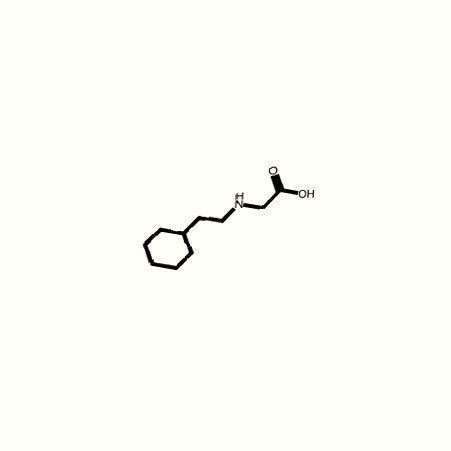 O=C(O)CNCCC1CCCCC1